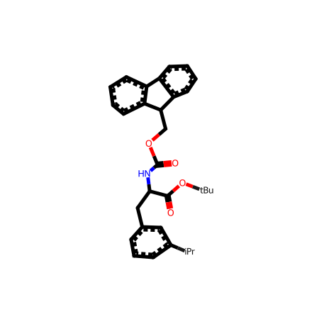 CC(C)c1cccc(CC(NC(=O)OCC2c3ccccc3-c3ccccc32)C(=O)OC(C)(C)C)c1